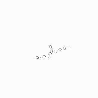 CC(c1ccccc1)N1Cc2cc3c(cc2C[C@H]1C(=O)N[C@@H](Cc1ccc(-c2ccc(C#N)cc2)cc1)C(=O)O)N(C)C(=O)C(c1ccc(OCc2ccc(Cl)c(Cl)c2)cc1)O3